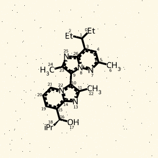 CCC(CC)c1cc(C)nn2c(-c3c(C)nc4c([C@@H](O)C(C)C)cccn34)c(C)nc12